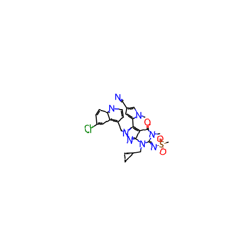 Cn1cc(C#N)cc1-c1c2c(=O)n(C)/c(=N\S(C)(=O)=O)n(CC3CC3)c2nn1Cc1ccnc2ccc(Cl)cc12